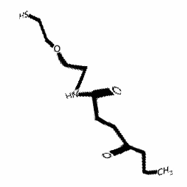 CCCC(=O)CCC(=O)NCCOCCS